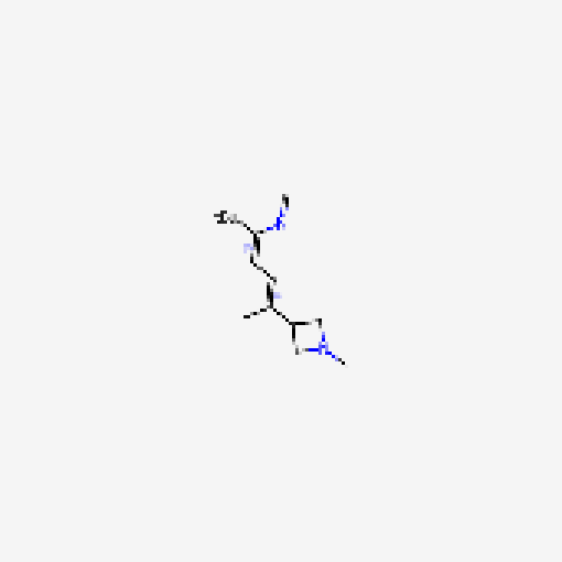 C=N/C(=C\C=C(/C)C1CN(C)C1)C(C)(C)C